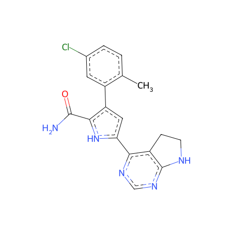 Cc1ccc(Cl)cc1-c1cc(-c2ncnc3c2CCN3)[nH]c1C(N)=O